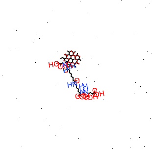 CCC(C)C(C(C)C)C(C(C(C)C)C(C)CNC(=O)CCCCCCC(=O)NCCCCC(NC(=O)NC(CCC(=O)O)C(=O)O)C(=O)O)C(C(C(C(C)C)C(C)C)C(C(C)C)C(C)C)C(C(C(C(C)C)C(C)C)C(C(C)C)C(C)C)C(C(C(C)C)C(C)C)C(C(C)C)C1(C)CC1(C)NCC(O)CO